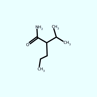 CCCC(C(N)=O)C(C)C